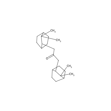 CC1(C)C2CCC(CC2)C1CC(=O)CC1C2CCC(CC2)C1(C)C